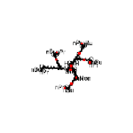 CCCCCCCCCN(CCCCCCCCC(=O)OC(CCC)CCCC)CCCNC(=O)c1cc(C(=O)NCCCN(CCCCCCCCCCC(=O)OC(CCC)CCCC)CCCCCCCCC(=O)OC(CCC)CCCC)cc(C(=O)NCCCN(CCCCCCCCC(=O)OC(CCC)CCCC)CCCCCCCCC(=O)OC(CCC)CCCC)c1